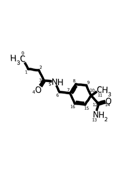 CCCC(=O)NCC1=CCC(C)(C(N)=O)C=C1